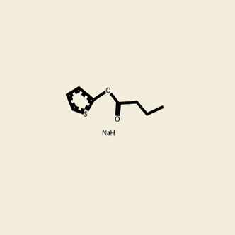 CCCC(=O)Oc1cccs1.[NaH]